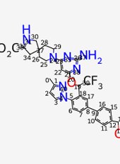 Cc1ccn(-c2ccc(-c3ccc(CO)cc3)cc2C(Oc2cc(N3CCC4(CC3)CNC(C(=O)O)C4)nc(N)n2)C(F)(F)F)n1